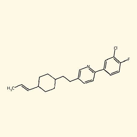 C/C=C/C1CCC(CCc2ccc(-c3ccc(F)c(Cl)c3)nc2)CC1